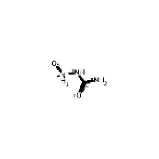 NC(=O)N[NH2+][O-]